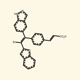 CC/C(=C(/c1ccc(/C=C/C(=O)O)cc1)c1ccc2[nH]ncc2c1)c1cc2ccccc2s1